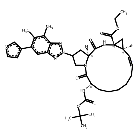 CCOC(=O)[C@@]12C[C@H]1/C=C\CCCCC[C@H](NC(=O)OC(C)(C)C)C(=O)N1CC(n3nc4cc(-c5ccsc5)c(C)c(C)c4n3)C[C@H]1C(=O)N2